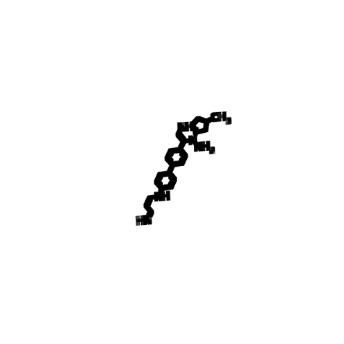 CC1CC[C@@H](N(N)/C(=C\N)c2ccc(-c3ccc(N/C=C\C=N)cc3)cc2)C1